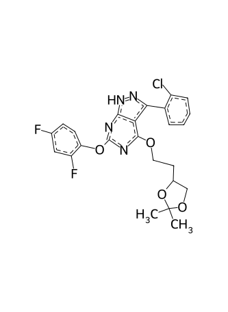 CC1(C)OCC(CCOc2nc(Oc3ccc(F)cc3F)nc3[nH]nc(-c4ccccc4Cl)c23)O1